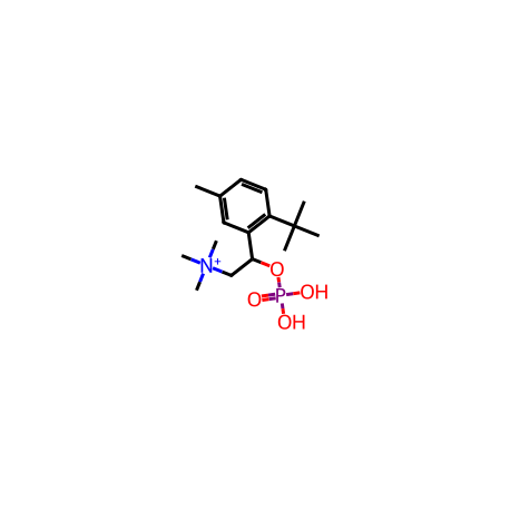 Cc1ccc(C(C)(C)C)c(C(C[N+](C)(C)C)OP(=O)(O)O)c1